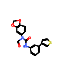 O=CN(C(=O)Nc1cccc(-c2ccsc2)c1)c1ccc2c(c1)OCO2